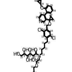 O=C([C@H](O)[C@H](O)[C@@H](O)[C@H](O)CO)N(CCCCCc1cc(Cl)c(COC2(c3cnccc3-c3ccccc3OC3CC3)CC2)cc1Cl)CCOCCO